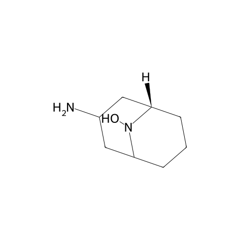 NC1CC2CCC[C@@H](C1)N2O